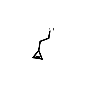 OCCC1C=C1